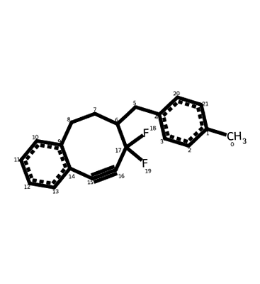 Cc1ccc(CC2CCc3ccccc3C#CC2(F)F)cc1